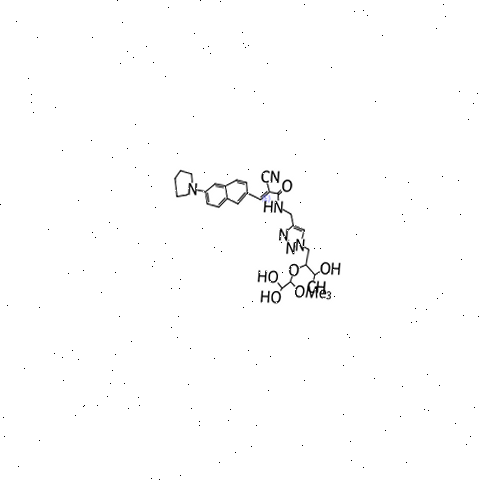 COC(OC(Cn1cc(CNC(=O)/C(C#N)=C/c2ccc3cc(N4CCCCC4)ccc3c2)nn1)C(C)O)C(O)O